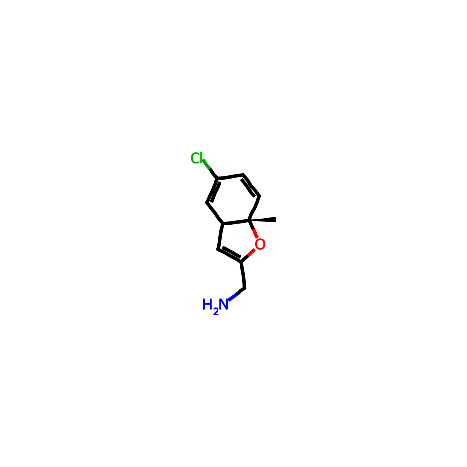 C[C@]12C=CC(Cl)=CC1C=C(CN)O2